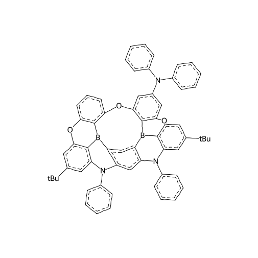 CC(C)(C)c1cc2c3c(c1)N(c1ccccc1)c1cc4c5cc1B3c1c(cccc1O2)Oc1cc(N(c2ccccc2)c2ccccc2)cc2c1B5c1c(cc(C(C)(C)C)cc1N4c1ccccc1)O2